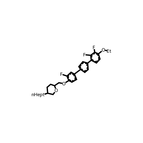 CCCCCCCC1CCC(COc2ccc(-c3ccc(-c4ccc(OCC)c(F)c4F)cc3)cc2F)OC1